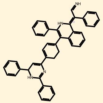 N=C/C(=C1\NC(c2ccccc2)=C(C2=CC=C(C3=CC(c4ccccc4)NC(c4ccccc4)=N3)CC2)c2ccccc21)c1ccccc1